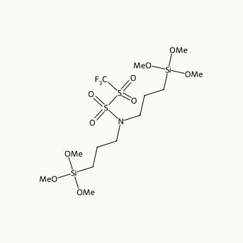 CO[Si](CCCN(CCC[Si](OC)(OC)OC)S(=O)(=O)S(=O)(=O)C(F)(F)F)(OC)OC